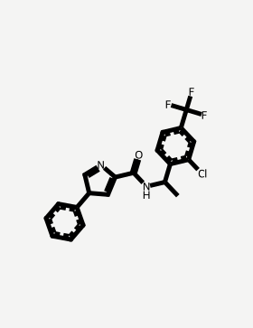 CC(NC(=O)C1=CC(c2ccccc2)C=N1)c1ccc(C(F)(F)F)cc1Cl